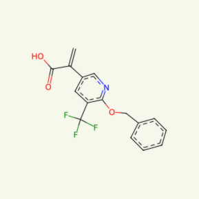 C=C(C(=O)O)c1cnc(OCc2ccccc2)c(C(F)(F)F)c1